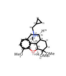 COc1ccc2c3c1O[C@@H]1C(OC)(OC)CCC4[C@H](C2)N(CC2CC2)CC[C@]341